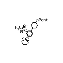 CCCCCC1CCC(c2ccc([C+]3SCCCS3)cc2)CC1.O=S(=O)([O-])C(F)(F)F